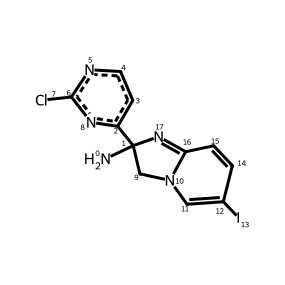 NC1(c2ccnc(Cl)n2)CN2C=C(I)C=CC2=N1